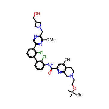 COc1nc(-c2cccc(-c3cccc(NC(=O)c4cc(C#N)c5c(n4)CN(CCO[Si](C)(C)C(C)(C)C)CC5)c3Cl)c2Cl)cnc1CN1CC(CO)C1